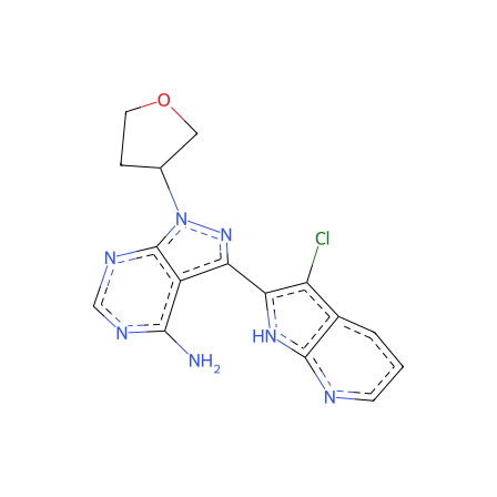 Nc1ncnc2c1c(-c1[nH]c3ncccc3c1Cl)nn2C1CCOC1